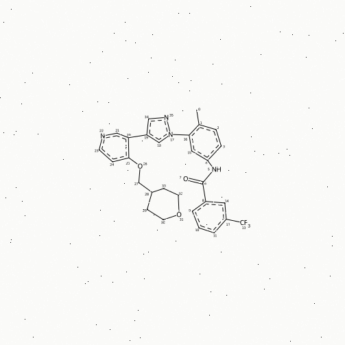 Cc1ccc(NC(=O)c2cccc(C(F)(F)F)c2)cc1-n1cc(-c2cnccc2OCC2CCOCC2)cn1